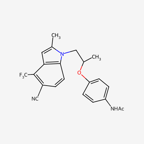 CC(=O)Nc1ccc(OC(C)Cn2c(C)cc3c(C(F)(F)F)c(C#N)ccc32)cc1